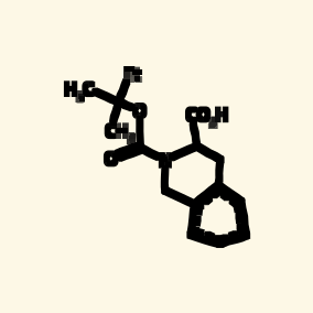 CCC(C)(C)OC(=O)N1Cc2ccccc2CC1C(=O)O